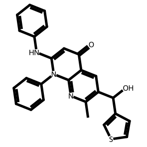 Cc1nc2c(cc1C(O)c1ccsc1)c(=O)cc(Nc1ccccc1)n2-c1ccccc1